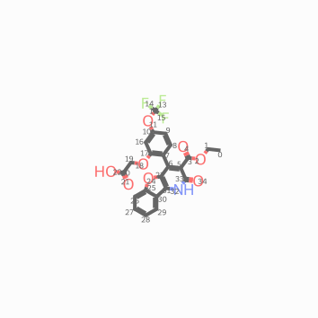 CCOC(=O)c1c(-c2ccc(OC(F)(F)F)cc2OCC(=O)O)c2oc3ccccc3c2[nH]c1=O